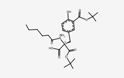 CCCCCC(=O)N(N)[C@@](Cc1ccc(O)c(C(=O)OC(C)(C)C)c1)(C(=O)O)C(=O)OC(C)(C)C